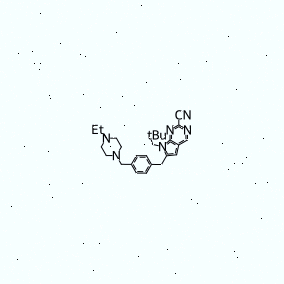 CCN1CCN(Cc2ccc(Cc3cc4cnc(C#N)nc4n3CC(C)(C)C)cc2)CC1